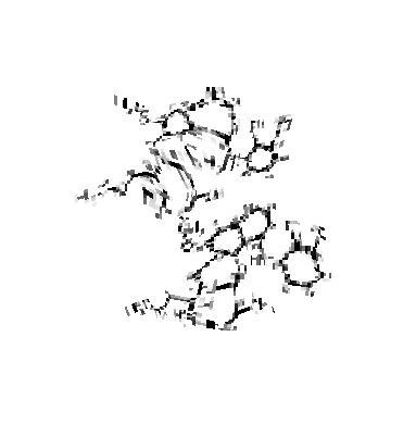 COC[C@H](C)N(Cc1cc2c(Nc3cccc(Cl)c3F)ncnc2cc1OC)C(=O)C(C)=N.COC[C@H](C)N(Cc1cc2c(Nc3cccc(Cl)c3F)ncnc2cc1OC)[C@H](C)C(=O)O